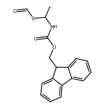 CC(NC(=O)OCC1c2ccccc2-c2ccccc21)O[C]=O